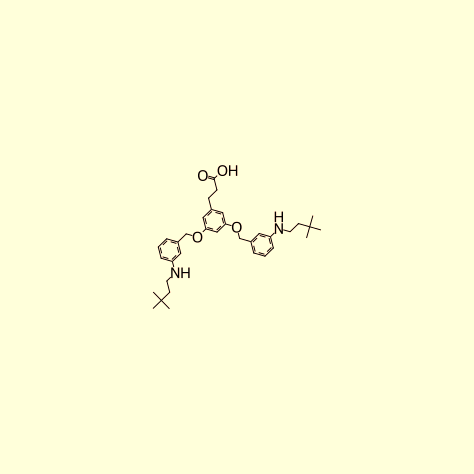 CC(C)(C)CCNc1cccc(COc2cc(CCC(=O)O)cc(OCc3cccc(NCCC(C)(C)C)c3)c2)c1